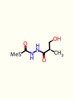 CSC(=O)NNC(=O)[C@H](C)CO